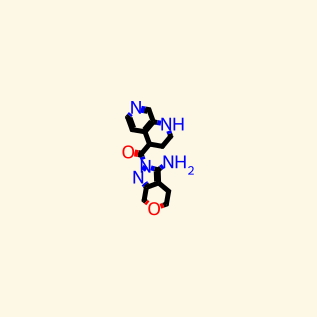 Nc1c2c(nn1C(=O)C1CCNc3cnccc31)COCC2